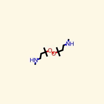 CNCCC(C)(C)OOC(C)(C)CCNC